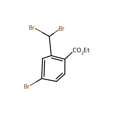 CCOC(=O)c1ccc(Br)cc1C(Br)Br